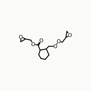 O=C(OCC1CO1)C1CCCCC1COOCC1CO1